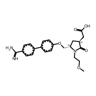 COCCN1C(=O)[C@H](CC(=O)O)C[C@H]1COc1ccc(-c2ccc(C(=N)N)cc2)cc1